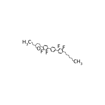 CCCCCCCc1ccc(-c2ccc(-c3ccc(C4CCC(CCC)CO4)c(F)c3F)cc2)c(F)c1F